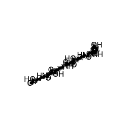 O=CN(O)CCCCCNC(=O)CCC(=O)N(O)CCCCCNC(=O)CCC(=O)N(O)CCCCCNC(=O)Cc1c[nH]c2ccc(O)cc12